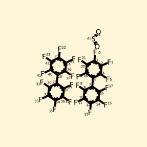 Fc1c(F)c(F)c(-c2c(F)c(F)c(F)c(F)c2F)c(F)c1F.Fc1c(F)c(F)c(-c2c(F)c(F)c(F)c(F)c2F)c(F)c1F.O=S=O